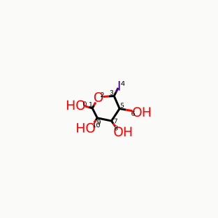 OC1OC(I)C(O)C(O)C1O